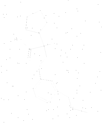 CNCc1cccc(OCC(O)(C(=O)O)C2CCCC2)c1